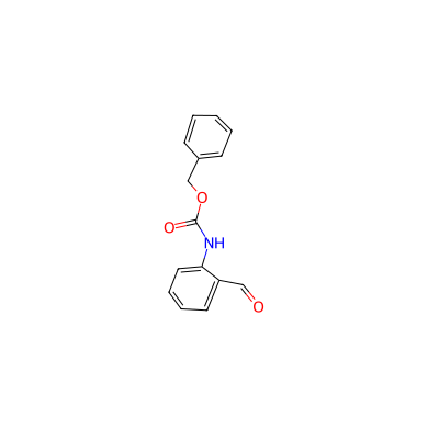 O=Cc1ccccc1NC(=O)OCc1ccccc1